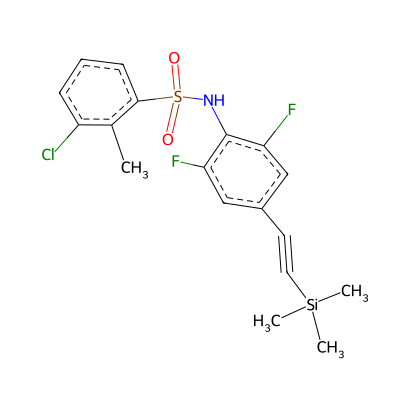 Cc1c(Cl)cccc1S(=O)(=O)Nc1c(F)cc(C#C[Si](C)(C)C)cc1F